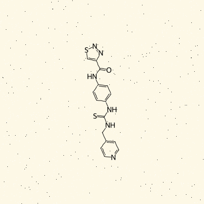 O=C(Nc1ccc(NC(=S)NCc2ccncc2)cc1)c1csnn1